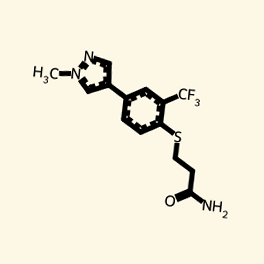 Cn1cc(-c2ccc(SCCC(N)=O)c(C(F)(F)F)c2)cn1